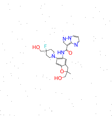 CC1(CO)Cc2cc(NC(=O)c3cnn4cccnc34)c(N3CCC(F)(CO)CC3)cc2O1